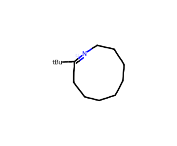 CC(C)(C)/C1=N/CCCCCCCC1